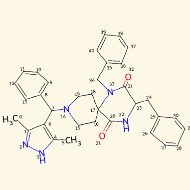 Cc1n[nH]c(C)c1C(c1ccccc1)N1CCC2(CC1)C(=O)NC(Cc1ccccc1)C(=O)N2Cc1ccccc1